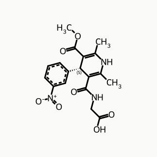 COC(=O)C1=C(C)NC(C)=C(C(=O)NCC(=O)O)[C@@H]1c1cccc([N+](=O)[O-])c1